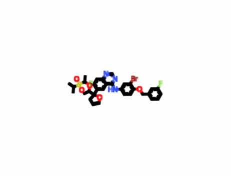 CC(OC(C)S(=O)(=O)C(C)C)C1(c2cc3c(Nc4ccc(OCc5cccc(F)c5)c(Br)c4)ncnc3cc2F)CC=CO1